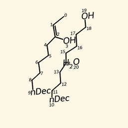 CC=C(O)CCCCCCCCCCCCCCC.CCCCCCCCCCCCCCCCCCO.O